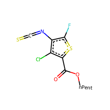 CCCCCOC(=O)c1sc(F)c(N=C=S)c1Cl